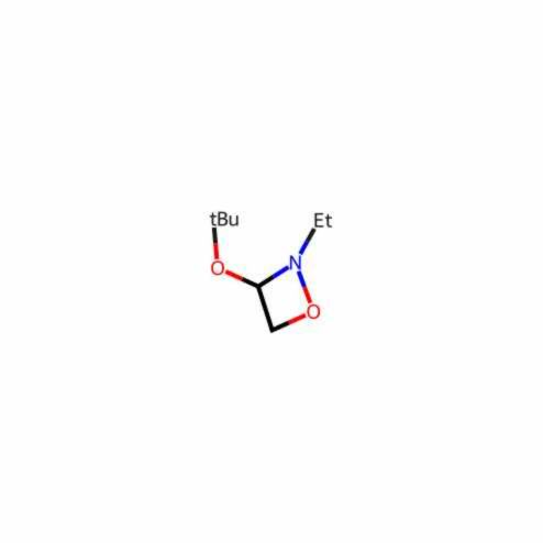 CCN1OCC1OC(C)(C)C